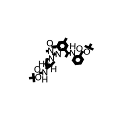 Cc1cc(C(C)Nc2ccccc2C(=O)OC(C)(C)C)c2nc(N3C[C@@H]4C(NC(=O)OC(C)(C)C)[C@@H]4C3)n(C)c(=O)c2c1